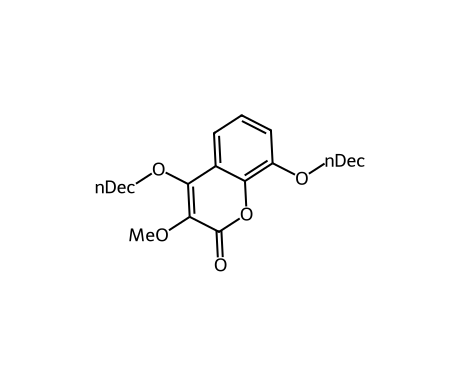 CCCCCCCCCCOc1c(OC)c(=O)oc2c(OCCCCCCCCCC)cccc12